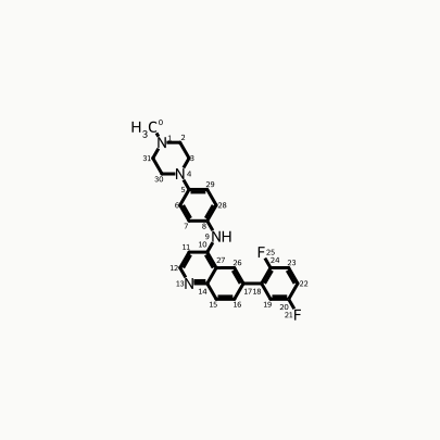 CN1CCN(c2ccc(Nc3ccnc4ccc(-c5cc(F)ccc5F)cc34)cc2)CC1